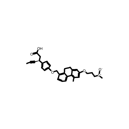 CC#C[C@@H](CC(=O)O)c1ccc(OCc2cccc3c2CCc2cc(OCCC[S+](C)[O-])cc(C)c2-3)cc1